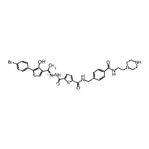 C/C(=N\NC(=O)c1ccc(C(=O)NCc2ccc(C(=O)NCCN3CCNCC3)cc2)s1)c1csc(-c2ccc(Br)cc2)c1O